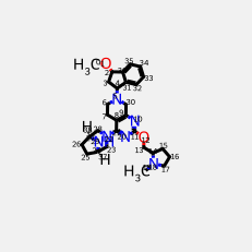 COC1CC(N2CCc3c(nc(OCC4CCCN4C)nc3N3C[C@H]4CC[C@@H](C3)N4)C2)c2ccccc21